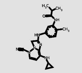 Cc1ccc(NC2=NC3=C(NC4CC4)C=CN(C#N)N3C2)cc1NC(=O)C(C)C